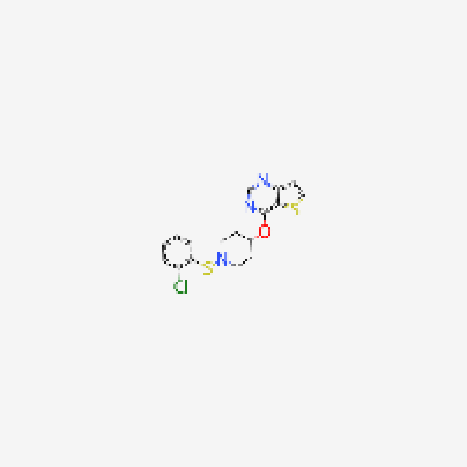 Clc1ccccc1SN1CCC(Oc2ncnc3ccsc23)CC1